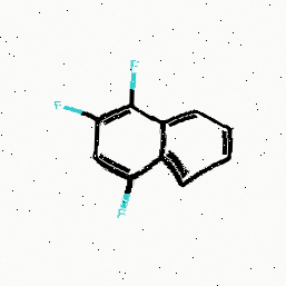 Fc1[c]c(F)c2cc[c]cc2c1F